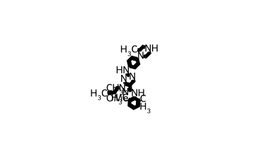 COC(C)(C)CCn1nc(Nc2c(C)cccc2C)c2cnc(Nc3ccc(N4CCNCC4C)cc3)nc21